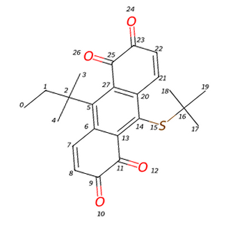 CCC(C)(C)c1c2ccc(=O)c(=O)c2c(SC(C)(C)C)c2ccc(=O)c(=O)c12